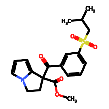 COC(=O)C1(C(=O)c2cccc(S(=O)(=O)CC(C)C)c2)CCn2cccc21